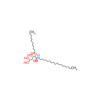 CCCCCCCCCCCCCCCCCCNC(=O)[C@H](OC(=O)CCCCCCCCCCC)[C@@H](O)[C@H](O)[C@H](O)CO